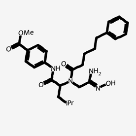 COC(=O)c1ccc(NC(=O)C(CC(C)C)N(C/C(N)=N/O)C(=O)CCCCc2ccccc2)cc1